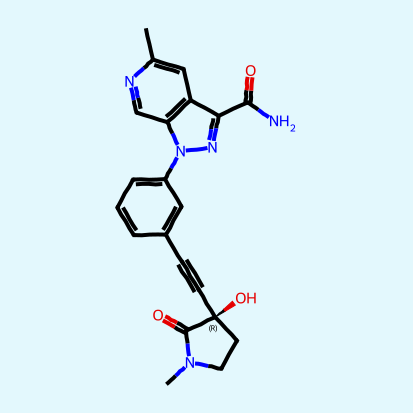 Cc1cc2c(C(N)=O)nn(-c3cccc(C#C[C@]4(O)CCN(C)C4=O)c3)c2cn1